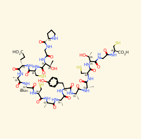 CC[C@H](C)[C@H](NC(=O)[C@H](C)NC(=O)[C@H](CCC(=O)O)NC(=O)[C@H](CS)NC(=O)[C@@H](NC(=O)CNC(=O)[C@@H]1CCCN1)[C@@H](C)O)C(=O)N[C@@H](CS)C(=O)N[C@@H](C)C(=O)N[C@@H](C)C(=O)N[C@@H](Cc1ccc(O)cc1)C(=O)N[C@@H](C)C(=O)N[C@@H](C)C(=O)N[C@@H](CS)C(=O)N[C@H](C(=O)NCC(=O)N[C@@H](CS)C(=O)O)[C@@H](C)O